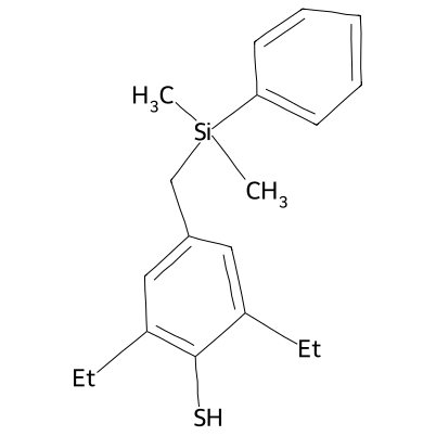 CCc1cc(C[Si](C)(C)c2ccccc2)cc(CC)c1S